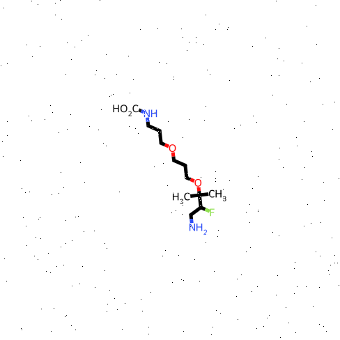 CC(C)(OCCCOCCCNC(=O)O)C(F)CN